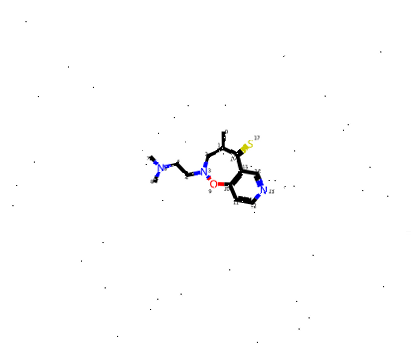 CC1CN(CCN(C)C)Oc2ccncc2C1=S